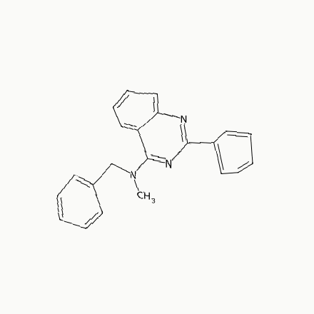 CN(Cc1ccccc1)c1nc(-c2ccccc2)nc2ccccc12